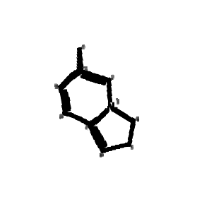 CC1=CN2CCC=C2C=C1